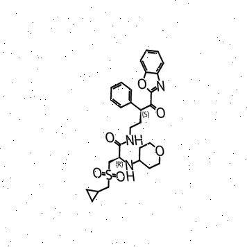 O=C(NCC[C@H](C(=O)c1nc2ccccc2o1)c1ccccc1)[C@H](CS(=O)(=O)CC1CC1)NC1CCOCC1